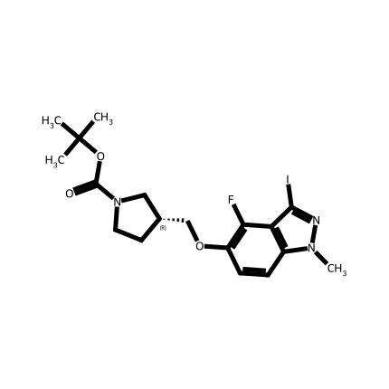 Cn1nc(I)c2c(F)c(OC[C@@H]3CCN(C(=O)OC(C)(C)C)C3)ccc21